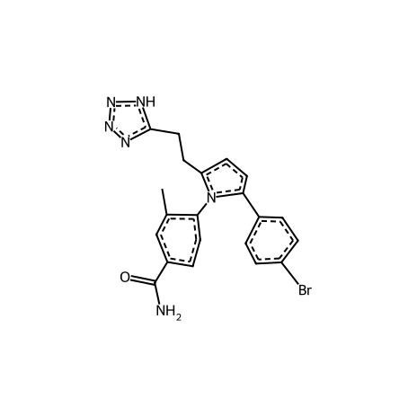 Cc1cc(C(N)=O)ccc1-n1c(CCc2nnn[nH]2)ccc1-c1ccc(Br)cc1